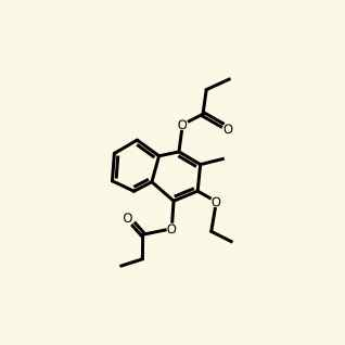 CCOc1c(C)c(OC(=O)CC)c2ccccc2c1OC(=O)CC